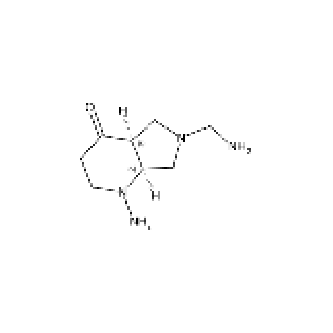 NCN1C[C@@H]2C(=O)CCN(N)[C@@H]2C1